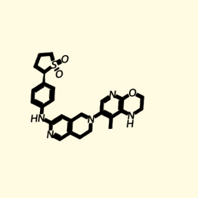 Cc1c(N2CCc3cnc(Nc4ccc([C@H]5CCCS5(=O)=O)cc4)cc3C2)cnc2c1NCCO2